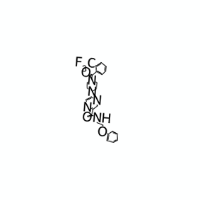 O=C(NCCOc1ccccc1)c1cnc(N2CCN(C(=O)c3ccccc3C(F)(F)F)CC2)cn1